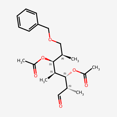 CC(=O)O[C@H]([C@H](C)[C@H](OC(C)=O)[C@H](C)C=O)[C@H](C)COCc1ccccc1